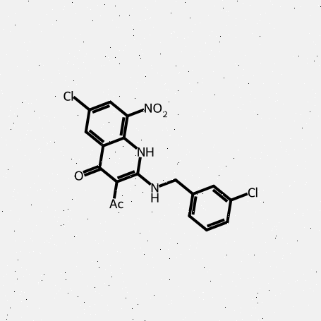 CC(=O)c1c(NCc2cccc(Cl)c2)[nH]c2c([N+](=O)[O-])cc(Cl)cc2c1=O